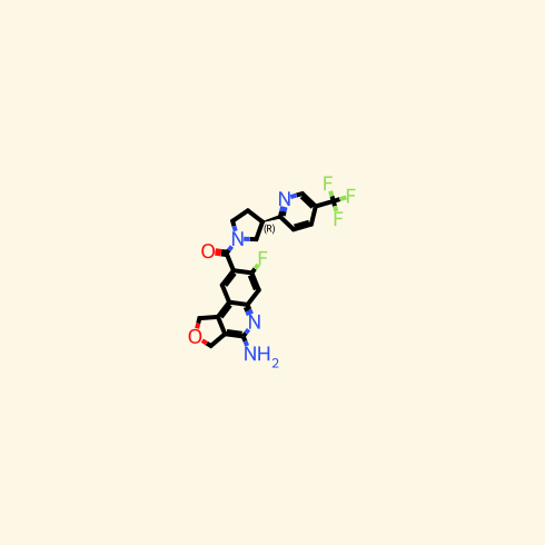 Nc1nc2cc(F)c(C(=O)N3CC[C@@H](c4ccc(C(F)(F)F)cn4)C3)cc2c2c1COC2